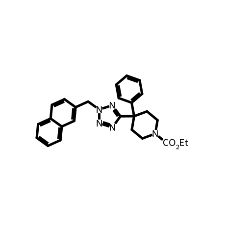 CCOC(=O)N1CCC(c2ccccc2)(c2nnn(Cc3ccc4ccccc4c3)n2)CC1